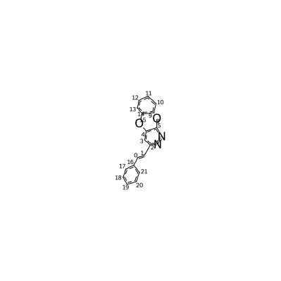 C(=Cc1cc2c(nn1)Oc1ccccc1O2)c1ccccc1